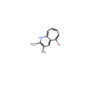 CC1=C(C)NC2=CC=CC=C(Br)C2=C1